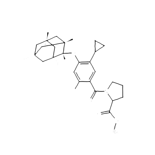 CC(C)(C)OC(=O)C1CCCN1C(=O)c1cc(C2CC2)c(O[C@@H]2[C@@H]3C[C@H]4C[C@H]2C[C@](F)(C4)C3)cc1F